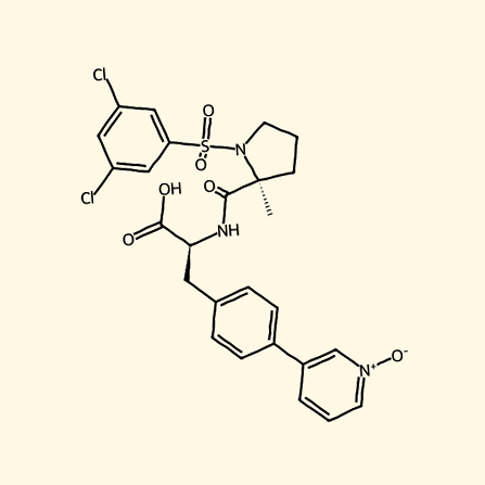 C[C@@]1(C(=O)N[C@@H](Cc2ccc(-c3ccc[n+]([O-])c3)cc2)C(=O)O)CCCN1S(=O)(=O)c1cc(Cl)cc(Cl)c1